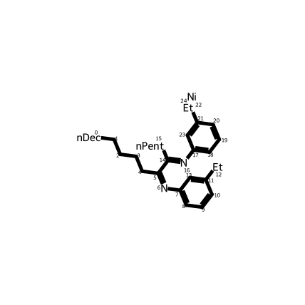 CCCCCCCCCCCCCCC(=Nc1cccc(CC)c1)C(CCCCC)=Nc1cccc(CC)c1.[Ni]